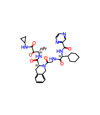 CCC[C@H](NC(=O)[C@@H]1Cc2ccccc2CN1C(=O)CNC(=O)[C@@H](NC(=O)c1cnccn1)C1CCCCC1)C(=O)C(=O)NC1CC1